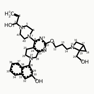 C=CC(O)N1CCN(c2nc(OCCCN3CC4CC43CO)nc3c2CCN(c2cc(O)cc4ccccc24)C3)CC1